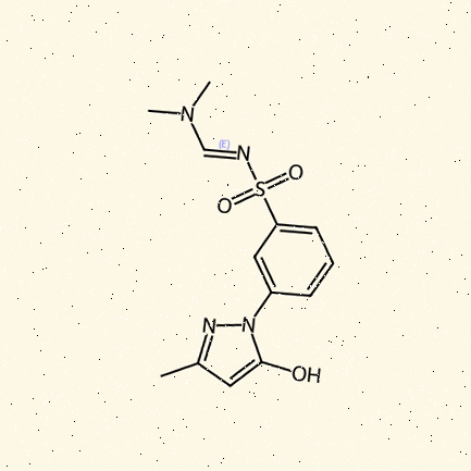 Cc1cc(O)n(-c2cccc(S(=O)(=O)/N=C/N(C)C)c2)n1